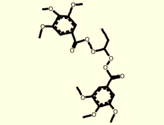 [CH2]C[C](OOC(=O)c1cc(OC)c(OC)c(OC)c1)OOC(=O)c1cc(OC)c(OC)c(OC)c1